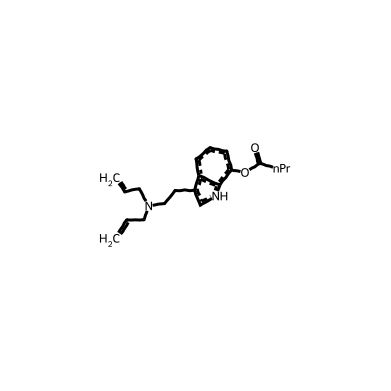 C=CCN(CC=C)CCc1c[nH]c2c(OC(=O)CCC)cccc12